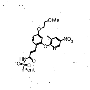 CCCCCS(=O)(=O)NC(=O)C=Cc1ccc(OCCOC)cc1Oc1ncc([N+](=O)[O-])cc1C